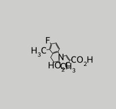 Cc1c(F)ccc2c1CCC(C)N2C=C(C(=O)O)C(=O)O